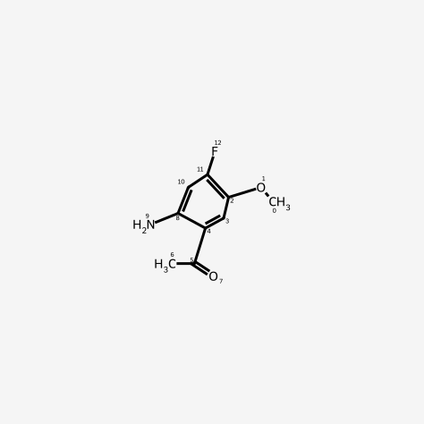 COc1cc(C(C)=O)c(N)cc1F